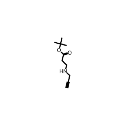 C#CCNCCC(=O)OC(C)(C)C